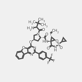 C=C[C@@H]1C[C@]1(NC(=O)[C@@H]1C[C@@H](Oc2nc(-c3ccc(C(F)(F)F)cc3)nc3c2oc2ccccc23)CN1C(=O)C(N)C(C)(C)C)C(=O)NS(=O)(=O)C1CC1